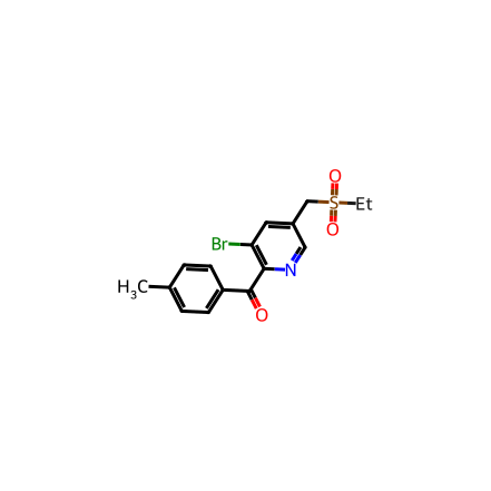 CCS(=O)(=O)Cc1cnc(C(=O)c2ccc(C)cc2)c(Br)c1